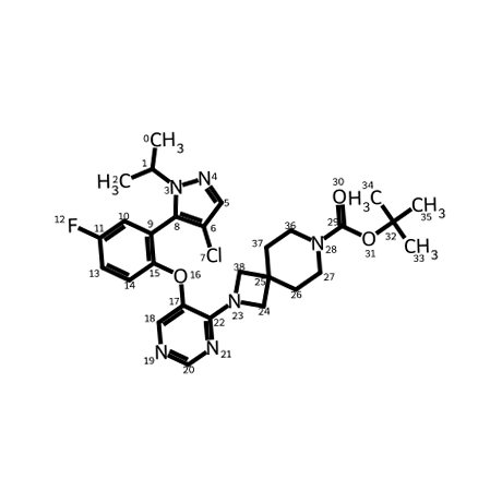 CC(C)n1ncc(Cl)c1-c1cc(F)ccc1Oc1cncnc1N1CC2(CCN(C(=O)OC(C)(C)C)CC2)C1